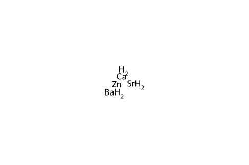 [BaH2].[CaH2].[SrH2].[Zn]